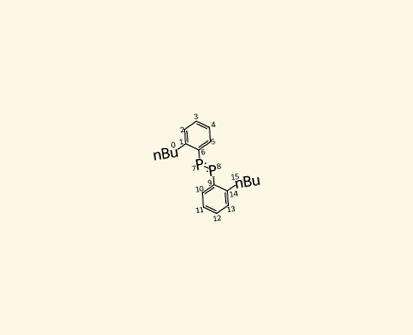 CCCCc1ccccc1[P][P]c1ccccc1CCCC